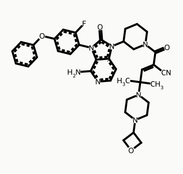 CC(C)(C=C(C#N)C(=O)N1CCCC(n2c(=O)n(-c3ccc(Oc4ccccc4)cc3F)c3c(N)nccc32)C1)N1CCN(C2COC2)CC1